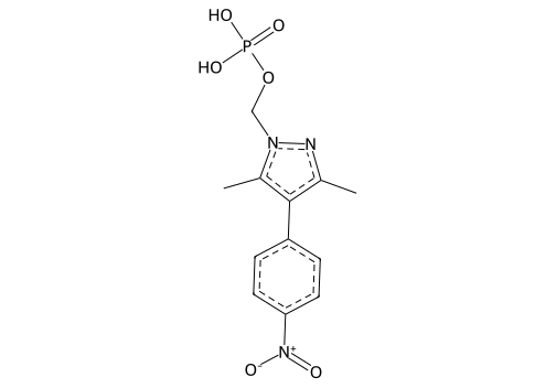 Cc1nn(COP(=O)(O)O)c(C)c1-c1ccc([N+](=O)[O-])cc1